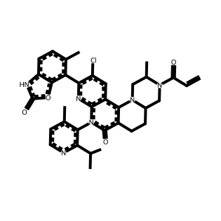 C=CC(=O)N1CC2CCc3c(c4cc(Cl)c(-c5c(C)ccc6[nH]c(=O)oc56)nc4n(-c4c(C)ccnc4C(C)C)c3=O)N2CC1C